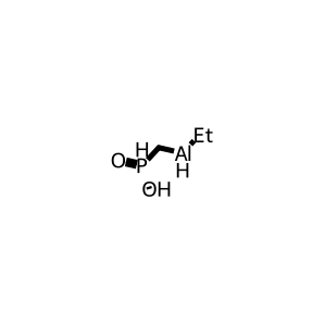 C[CH2][AlH][CH2][PH](=O)O